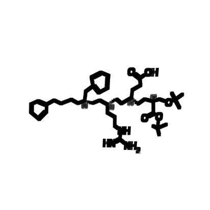 CC(C)(C)OC[C@H](CC[C@@H](CCC(=O)O)CC[C@H](CCCNC(=N)N)CC[C@H](CCCCc1ccccc1)Cc1ccccc1)C(=O)OC(C)(C)C